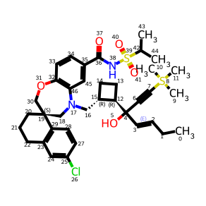 CC/C=C/C(O)(C#CS(C)(C)C)[C@@H]1CC[C@H]1CN1C[C@@]2(CCCc3cc(Cl)ccc32)COc2ccc(C(=O)NS(=O)(=O)C(C)C)cc21